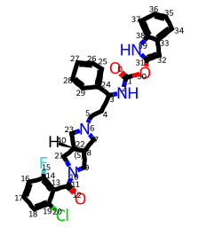 O=C(NC(CCN1CC2CN(C(=O)c3c(F)cccc3Cl)C[C@@H]2C1)c1ccccc1)Oc1cc2ccccc2[nH]1